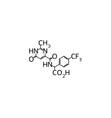 Cc1nc(C(=O)NC(C(=O)O)c2ccc(C(F)(F)F)cc2)cc(=O)[nH]1